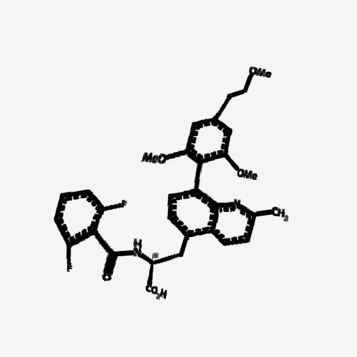 COCCc1cc(OC)c(-c2ccc(C[C@H](NC(=O)c3c(F)cccc3F)C(=O)O)c3ccc(C)nc23)c(OC)c1